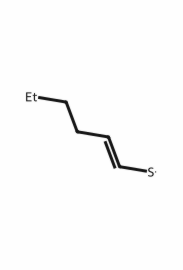 CCCC/C=C/[S]